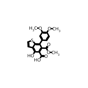 COC(=O)c1c(C(=O)O)c(O)c2ccsc2c1-c1ccc(OC)c(OC)c1